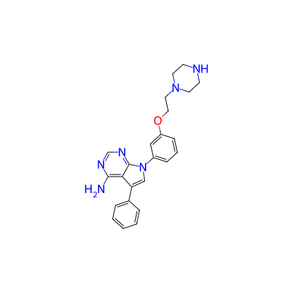 Nc1ncnc2c1c(-c1ccccc1)cn2-c1cccc(OCCN2CCNCC2)c1